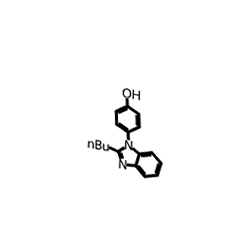 CCCCc1nc2ccccc2n1-c1ccc(O)cc1